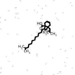 CC(C)CCCCCCCCCCCC1(C(=O)O)CC=CCC1(CC(C)C)C(=O)O